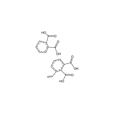 C=Cc1cccc(C(=O)O)c1C(=O)O.O=C(O)c1ccccc1C(=O)O